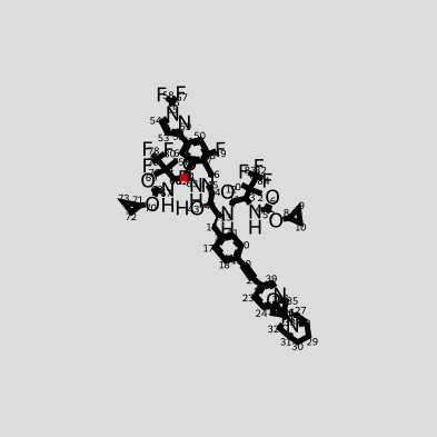 CC(C)(C(NC(=O)OC1CC1)C(=O)N[C@@H](Cc1ccc(C#Cc2ccc(N3CC4CCC(C3)N4C3COC3)nc2)cc1)[C@@H](O)CN(Cc1c(F)cc(-c2ccn(C(F)F)n2)cc1F)NC(=O)[C@@H](NC(=O)OC1CC1)C(C)(C)C(F)(F)F)C(F)(F)F